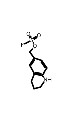 O=S(=O)(F)OCc1ccc2c(c1)CCCN2